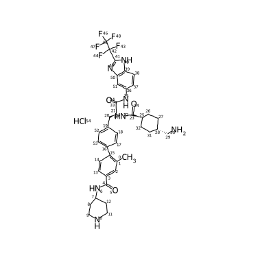 Cc1cc(C(=O)NC2CCNCC2)ccc1-c1ccc(C[C@H](NC(=O)[C@H]2CC[C@H](CN)CC2)C(=O)Nc2ccc3[nH]c(C(F)(F)C(F)(F)F)nc3c2)cc1.Cl